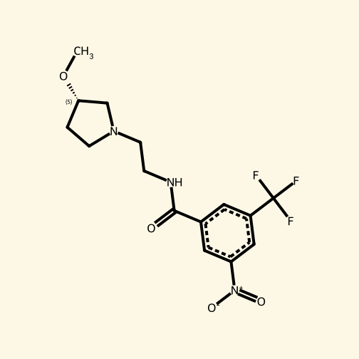 CO[C@H]1CCN(CCNC(=O)c2cc([N+](=O)[O-])cc(C(F)(F)F)c2)C1